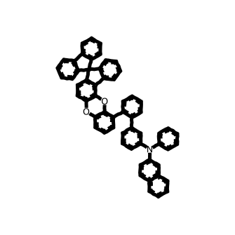 c1ccc(N(c2cccc(-c3ccccc3-c3cccc4c3Oc3c(ccc5c3-c3ccccc3C53c5ccccc5-c5ccccc53)O4)c2)c2ccc3ccccc3c2)cc1